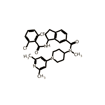 Cc1cc(N2CCC(N(C)C(=O)c3ccc4c(c3)C(NC(=O)c3c(Cl)cccc3C(F)(F)F)CC4)CC2)cc(C)n1